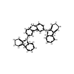 C1=c2c(n(-c3ccc4sc5ccc(-n6c7c(c8ccccc86)=CCCC=7)cc5c4c3)c3ccccc23)=CCC1